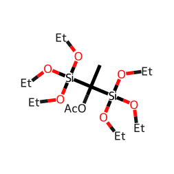 CCO[Si](OCC)(OCC)C(C)(OC(C)=O)[Si](OCC)(OCC)OCC